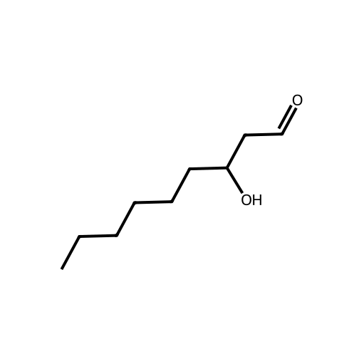 CCCCCCC(O)CC=O